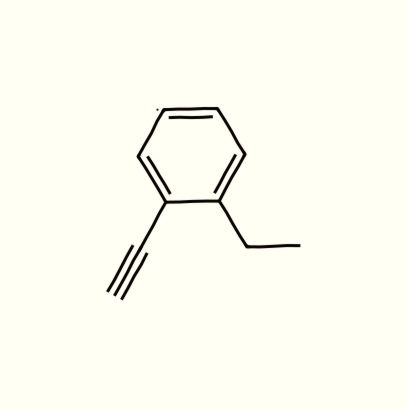 C#Cc1c[c]ccc1CC